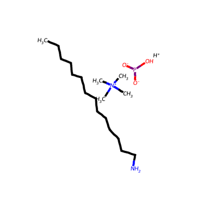 CCCCCCCCCCCCCCN.C[N+](C)(C)C.[H+].[O-]P([O-])O